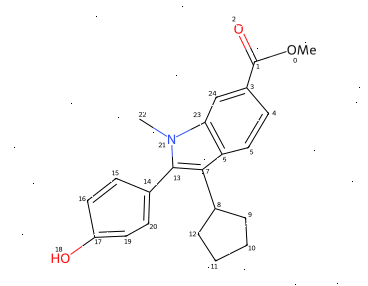 COC(=O)c1ccc2c(C3CCCC3)c(-c3ccc(O)cc3)n(C)c2c1